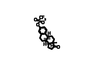 C[C@]12CC[C@@H]3c4ccc(OS(=O)(=O)C(F)(F)F)cc4CC[C@H]3[C@@H]1CCC2=O